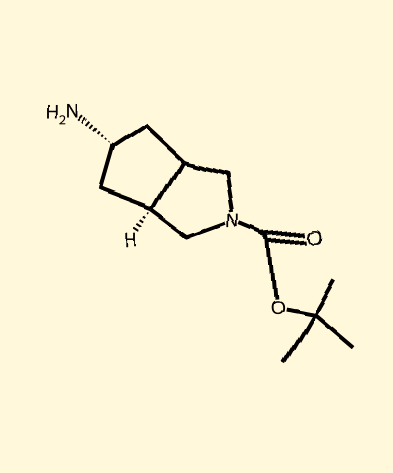 CC(C)(C)OC(=O)N1CC2C[C@@H](N)C[C@@H]2C1